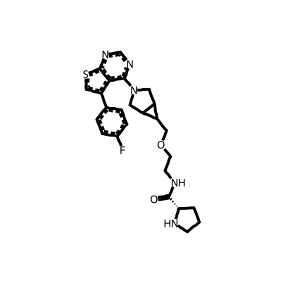 O=C(NCCOCC1C2CN(c3ncnc4scc(-c5ccc(F)cc5)c34)CC12)[C@@H]1CCCN1